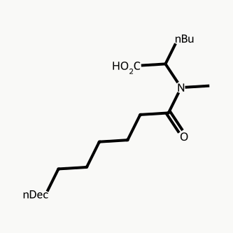 CCCCCCCCCCCCCCCC(=O)N(C)C(CCCC)C(=O)O